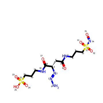 NN=N[C@@H](CC(=O)NCCCS(=O)(=O)N=O)C(=O)NCCCS(=O)(=O)O